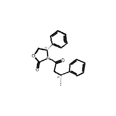 C[C@H](CC(=O)N1C(=O)OC[C@@H]1c1ccccc1)c1ccccc1